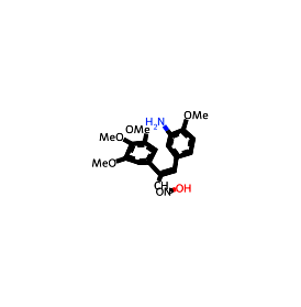 COc1ccc(C=C(C)c2cc(OC)c(OC)c(OC)c2)cc1N.O=NO